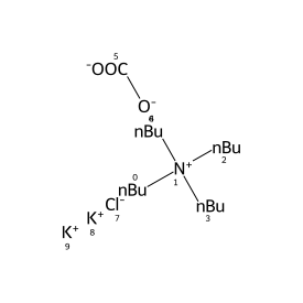 CCCC[N+](CCCC)(CCCC)CCCC.O=C([O-])[O-].[Cl-].[K+].[K+]